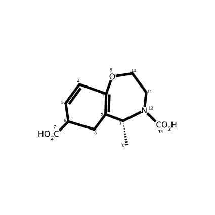 C[C@@H]1C2=C(C=CC(C(=O)O)C2)OCCN1C(=O)O